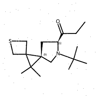 CCC(=O)[C@@H]1C[C@@]2(CN1C(C)(C)C)C(C)(C)C21CSC1